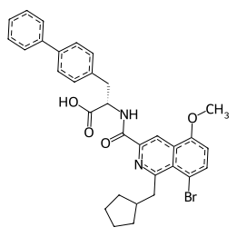 COc1ccc(Br)c2c(CC3CCCC3)nc(C(=O)N[C@@H](Cc3ccc(-c4ccccc4)cc3)C(=O)O)cc12